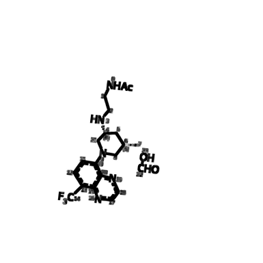 CC(=O)NCCN[C@@H]1C[C@H](C)CN(c2ccc(C(F)(F)F)c3nccnc23)C1.O=CO